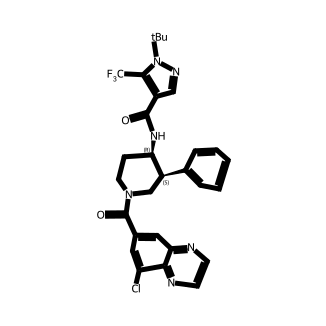 CC(C)(C)n1ncc(C(=O)N[C@@H]2CCN(C(=O)c3cc(Cl)c4nccnc4c3)C[C@@H]2c2ccccc2)c1C(F)(F)F